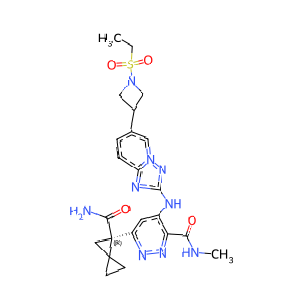 CCS(=O)(=O)N1CC(c2ccc3nc(Nc4cc([C@@]5(C(N)=O)CC56CC6)nnc4C(=O)NC)nn3c2)C1